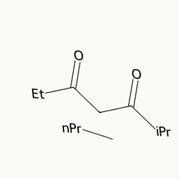 CCC(=O)CC(=O)C(C)C.CCCC